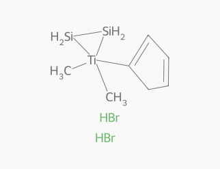 Br.Br.[CH3][Ti]1([CH3])([C]2=CC=CC2)[SiH2][SiH2]1